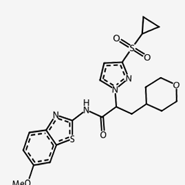 COc1ccc2nc(NC(=O)C(CC3CCOCC3)n3ccc(S(=O)(=O)C4CC4)n3)sc2c1